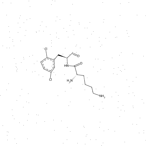 NCCCC[C@H](N)C(=O)N[C@H]([C]=O)Cc1cc(Cl)ccc1Cl